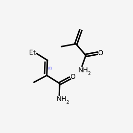 C=C(C)C(N)=O.CC/C=C(\C)C(N)=O